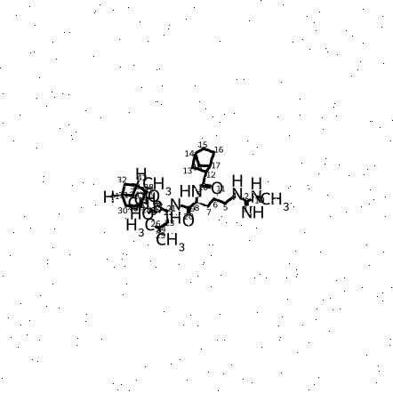 CNC(=N)NCCC[C@H](NC(=O)C1CC2CCC1C2)C(=O)N[C@@H](CC(C)C)B1O[C@@H]2C[C@@H]3C[C@@H](C3(C)C)[C@]2(C)O1